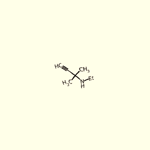 C#CC(C)(C)NCC